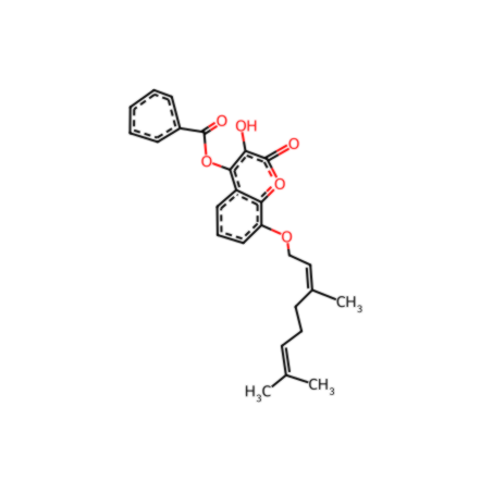 CC(C)=CCCC(C)=CCOc1cccc2c(OC(=O)c3ccccc3)c(O)c(=O)oc12